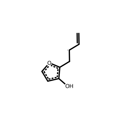 C=C[CH]Cc1occc1O